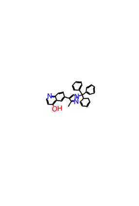 Cc1nn(C(c2ccccc2)(c2ccccc2)C2C=CC=CC2)cc1-c1ccc2nccc(O)c2c1